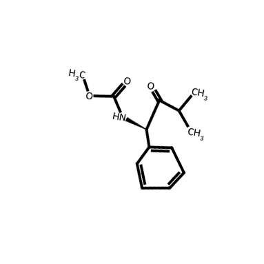 COC(=O)N[C@@H](C(=O)C(C)C)c1ccccc1